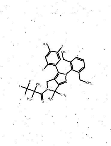 CCc1cccc(CC)c1-n1nc2c(c1-c1cc(F)c(N)cc1F)CN(C(=O)C(C)(C)C(F)(F)F)C2(C)C